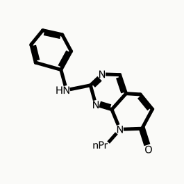 CCCn1c(=O)ccc2cnc(Nc3ccccc3)nc21